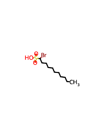 CCCCCCCCCCC(Br)S(=O)(=O)O